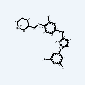 Cc1cc(Nc2ncn(-c3cc(F)cc(F)c3)n2)ccc1NCC1CCCNC1